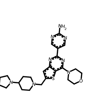 Nc1ncc(-c2nc(N3CCOCC3)c3sc(CN4CCC(N5CCCC5)CC4)cc3n2)cn1